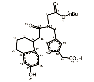 CCCCOC(=O)CN(Cc1csc(CC(=O)O)c1)C(=O)CC1CCCc2cc(O)ccc21